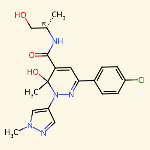 C[C@@H](CO)NC(=O)C1=CC(c2ccc(Cl)cc2)=NN(c2cnn(C)c2)C1(C)O